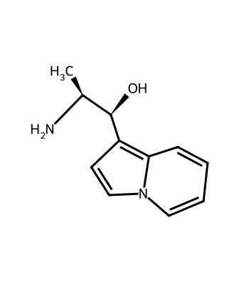 C[C@H](N)[C@@H](O)c1ccn2ccccc12